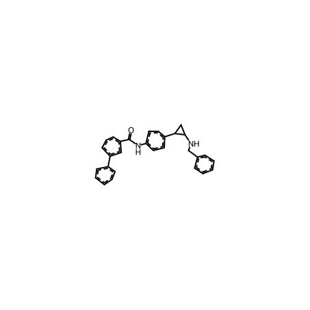 O=C(Nc1ccc(C2CC2NCc2ccccc2)cc1)c1cccc(-c2ccccc2)c1